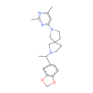 Cc1cc(N2CCC3(CCN(C(C)c4ccc5c(c4)OCO5)C3)C2)nc(C)n1